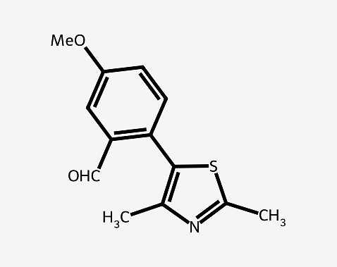 COc1ccc(-c2sc(C)nc2C)c(C=O)c1